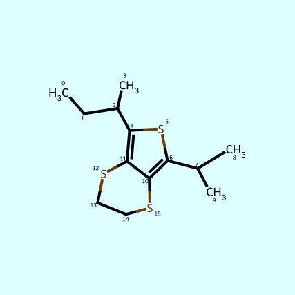 CCC(C)c1sc(C(C)C)c2c1SCCS2